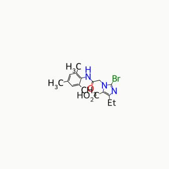 CCc1nc(Br)n(CC(=O)Nc2c(C)cc(C)cc2C)c1C(=O)O